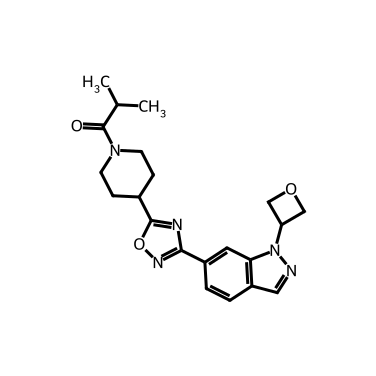 CC(C)C(=O)N1CCC(c2nc(-c3ccc4cnn(C5COC5)c4c3)no2)CC1